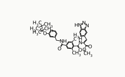 COC(=O)/C(=C/c1ccc2[nH]nnc2c1)NC(=O)c1c(C)cc(C(=O)NCc2cccc(O[Si](C)(C)C(C)(C)C)c2)cc1C